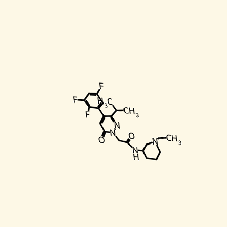 CCN1CCCC(NC(=O)Cn2nc(C(C)C)c(-c3cc(F)cc(F)c3F)cc2=O)C1